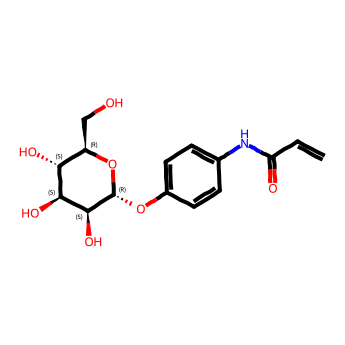 C=CC(=O)Nc1ccc(O[C@H]2O[C@H](CO)[C@@H](O)[C@H](O)[C@@H]2O)cc1